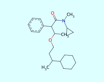 CC(CCOC(C)C(C(=O)N(C)C1CC1)c1ccccc1)C1CCCCC1